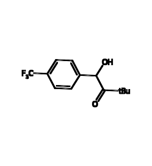 CC(C)(C)C(=O)C(O)c1ccc(C(F)(F)F)cc1